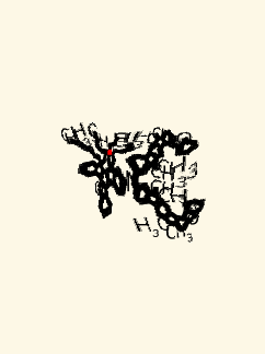 CCCCCCCC1(CCCCCCC)c2ccccc2-c2c1c1c(c3c2oc2ccccc23)-c2ccc(N(c3ccc4c(c3)C(C)(C)c3cc5c(cc3-4)C(C)(C)c3ccc4oc6ccccc6c4c3-5)c3ccc4c(c3)C(C)(C)c3cc5c(cc3-4)C(C)(C)c3ccc4oc6ccccc6c4c3-5)cc2C1(CCCCCCC)CCCCCCC